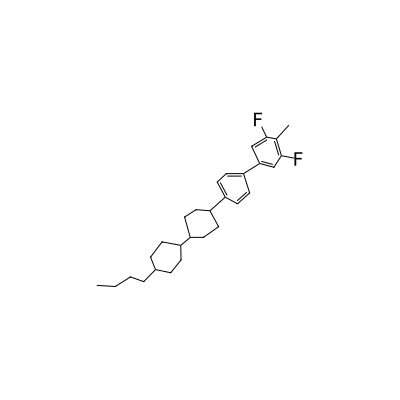 CCCCC1CCC(C2CCC(c3ccc(-c4cc(F)c(C)c(F)c4)cc3)CC2)CC1